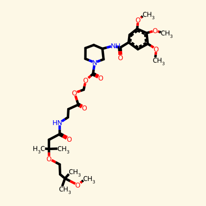 COc1cc(C(=O)NC2CCCN(C(=O)OCOC(=O)CCNC(=O)CC(C)(C)OCCC(C)(C)OC)C2)cc(OC)c1OC